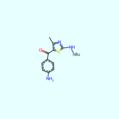 CCCCNc1nc(C)c(C(=O)c2ccc(N)cc2)s1